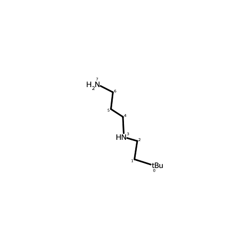 CC(C)(C)CCNCCCN